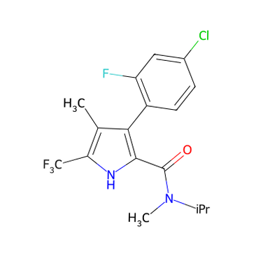 Cc1c(C(F)(F)F)[nH]c(C(=O)N(C)C(C)C)c1-c1ccc(Cl)cc1F